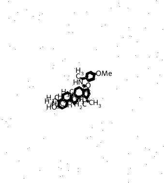 C=C(C)[C@@H]1CC[C@]2(C(=O)N[C@H](C)c3ccc(OC)cc3)CC[C@]3(C)[C@H](CC[C@@H]4[C@@]5(C)CC[C@H](O)C(C)(C)[C@@H]5CC[C@]43C)[C@@H]12